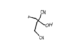 N#CCC(O)(I)C#N